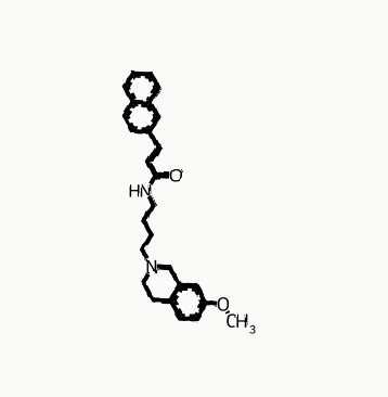 COc1ccc2c(c1)CN(CCCCNC(=O)/C=C/c1ccc3ccccc3c1)CC2